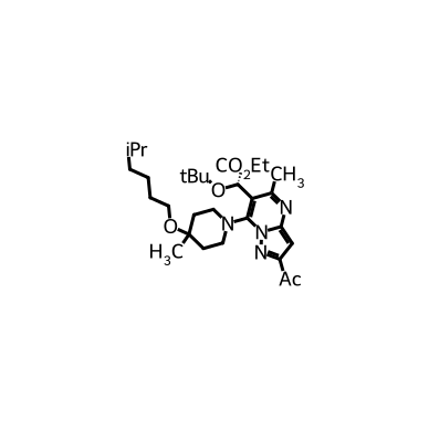 CCOC(=O)[C@@H](OC(C)(C)C)c1c(C)nc2cc(C(C)=O)nn2c1N1CCC(C)(OCCCCC(C)C)CC1